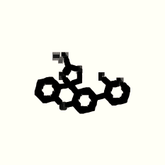 NC1=NC2(CS1)c1ccccc1Oc1ccc(-c3cccnc3F)cc12